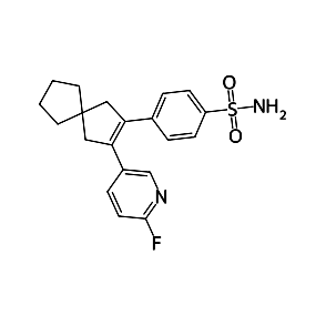 NS(=O)(=O)c1ccc(C2=C(c3ccc(F)nc3)CC3(CCCC3)C2)cc1